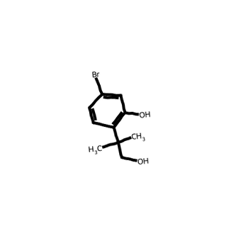 CC(C)(CO)c1ccc(Br)cc1O